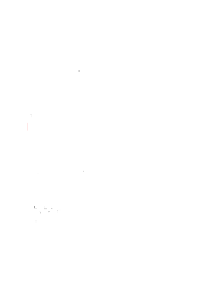 C=CC=C(CCNC)C(C)O